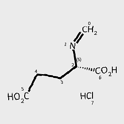 C=N[C@@H](CCC(=O)O)C(=O)O.Cl